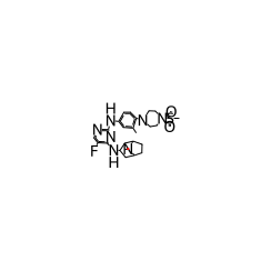 Cc1cc(Nc2ncc(F)c(NC3CC4CCC(C3)N4C)n2)ccc1N1CCN(S(C)(=O)=O)CC1